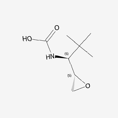 CC(C)(C)[C@H](NC(=O)O)[C@H]1CO1